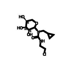 O=C(NCCCl)N(CC1CC1)C1OC[C@@H](O)[C@H](O)[C@H]1O